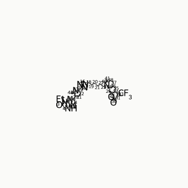 CCN1C(=O)CNc2ncc(-c3ccc(-c4ncn(CCCCCCN5c6cc7oc(=O)cc(C(F)(F)F)c7cc6CCC5(C)C)n4)nc3C)nc21